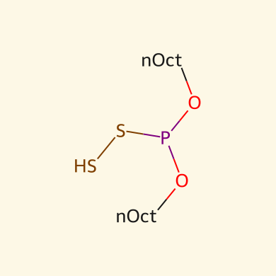 CCCCCCCCOP(OCCCCCCCC)SS